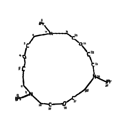 CC(C)N1CCOCCN(C(C)C)CCOCCN(C(C)C)CCOCC1